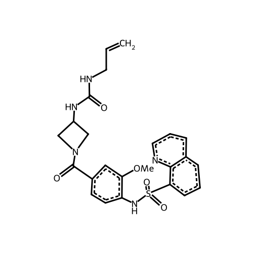 C=CCNC(=O)NC1CN(C(=O)c2ccc(NS(=O)(=O)c3cccc4cccnc34)c(OC)c2)C1